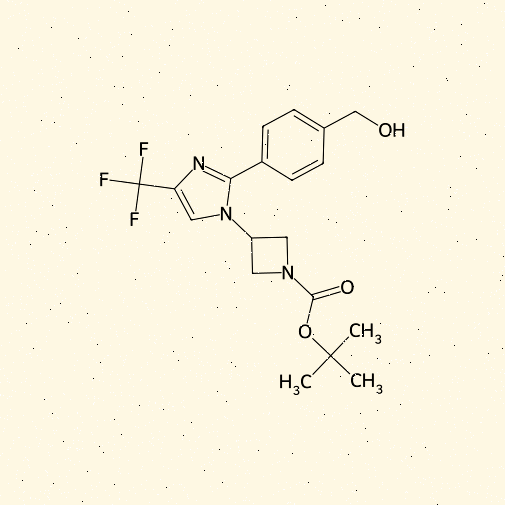 CC(C)(C)OC(=O)N1CC(n2cc(C(F)(F)F)nc2-c2ccc(CO)cc2)C1